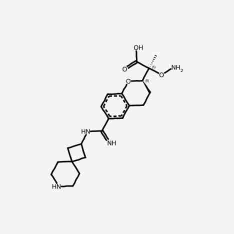 C[C@@](ON)(C(=O)O)[C@H]1CCc2cc(C(=N)NC3CC4(CCNCC4)C3)ccc2O1